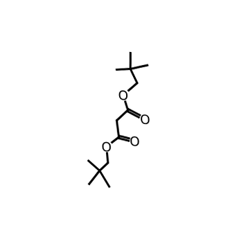 CC(C)(C)COC(=O)CC(=O)OCC(C)(C)C